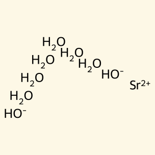 O.O.O.O.O.O.[OH-].[OH-].[Sr+2]